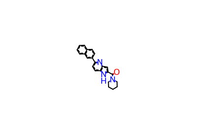 O=C(c1cc2nc(-c3ccc4ccccc4c3)ccc2[nH]1)N1CCCCC1